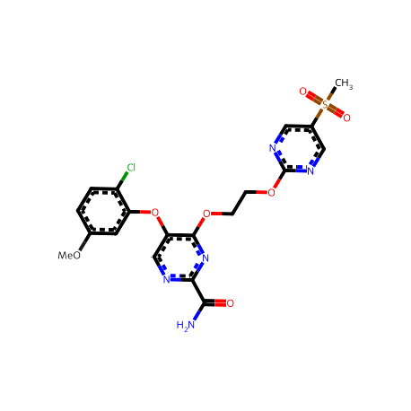 COc1ccc(Cl)c(Oc2[c]nc(C(N)=O)nc2OCCOc2ncc(S(C)(=O)=O)cn2)c1